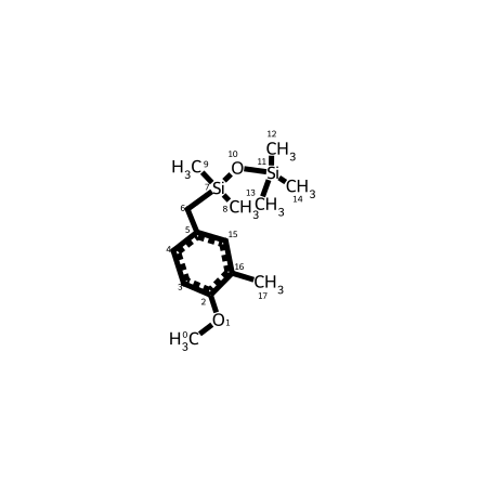 COc1ccc(C[Si](C)(C)O[Si](C)(C)C)cc1C